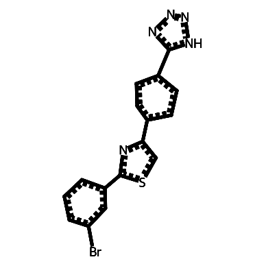 Brc1cccc(-c2nc(-c3ccc(-c4nnn[nH]4)cc3)cs2)c1